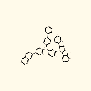 c1ccc(-c2ccc(N(c3ccc(-c4ccc5ccccc5c4)cc3)c3cccc(-n4c5c6ccccc6sc5c5sc6ccccc6c54)c3)cc2)cc1